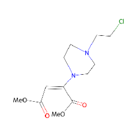 COC(=O)/C=C(\C(=O)OC)N1CCN(CCCl)CC1